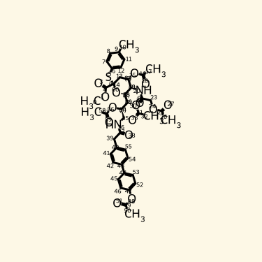 COC(=O)[C@]1(Sc2ccc(C)cc2)C[C@H](OC(C)=O)[C@@H](NC(=O)COC(C)=O)[C@H]([C@H](OC(C)=O)[C@@H](CNC(=O)Cc2ccc(-c3ccc(OC(C)=O)cc3)cc2)OC(C)=O)O1